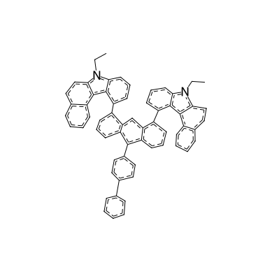 CCn1c2cccc(-c3cccc4c(-c5ccc(-c6ccccc6)cc5)c5cccc(-c6cccc7c6c6c8ccccc8ccc6n7CC)c5cc34)c2c2c3ccccc3ccc21